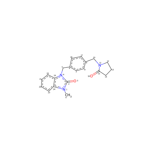 Cn1c(=O)n(Cc2ccc(CN3CCCC3=O)cc2)c2ccccc21